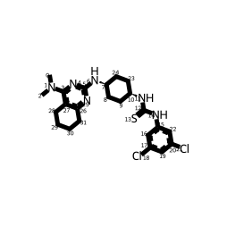 CN(C)c1nc(N[C@H]2CC[C@@H](NC(=S)Nc3cc(Cl)cc(Cl)c3)CC2)nc2c1CCCC2